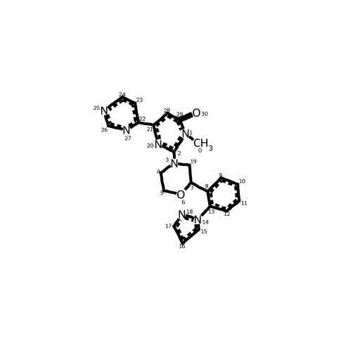 Cn1c(N2CCOC(c3ccccc3-n3cccn3)C2)nc(-c2ccncn2)cc1=O